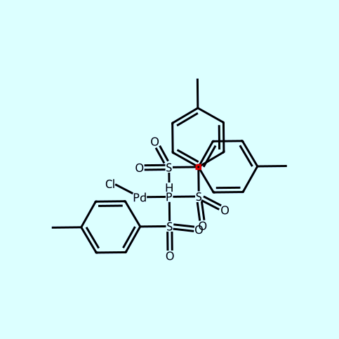 Cc1ccc(S(=O)(=O)[PH]([Pd][Cl])(S(=O)(=O)c2ccc(C)cc2)S(=O)(=O)c2ccc(C)cc2)cc1